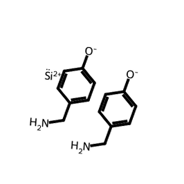 NCc1ccc([O-])cc1.NCc1ccc([O-])cc1.[Si+2]